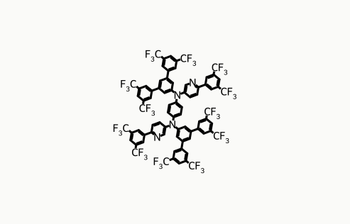 FC(F)(F)c1cc(-c2cc(-c3cc(C(F)(F)F)cc(C(F)(F)F)c3)cc(N(c3ccc(N(c4ccc(-c5cc(C(F)(F)F)cc(C(F)(F)F)c5)nc4)c4cc(-c5cc(C(F)(F)F)cc(C(F)(F)F)c5)cc(-c5cc(C(F)(F)F)cc(C(F)(F)F)c5)c4)cc3)c3ccc(-c4cc(C(F)(F)F)cc(C(F)(F)F)c4)nc3)c2)cc(C(F)(F)F)c1